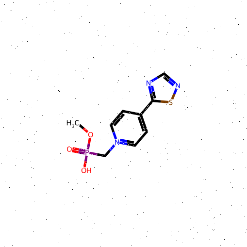 COP(=O)(O)C[n+]1ccc(-c2ncns2)cc1